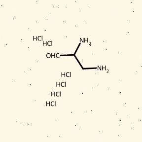 Cl.Cl.Cl.Cl.Cl.Cl.NCC(N)C=O